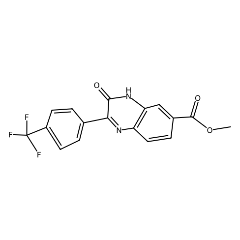 COC(=O)c1ccc2nc(-c3ccc(C(F)(F)F)cc3)c(=O)[nH]c2c1